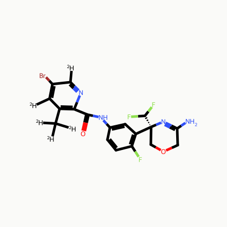 [2H]c1nc(C(=O)Nc2ccc(F)c([C@]3(C(F)F)COCC(N)=N3)c2)c(C([2H])([2H])[2H])c([2H])c1Br